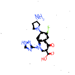 N[C@H]1CCN(c2cc3c(cc2F)c(=O)c(C(=O)O)cn3-c2nc[nH]n2)C1